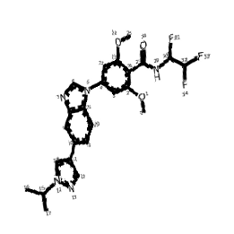 COc1cc(-n2cnc3cc(-c4cnn(C(C)C)c4)ccc32)cc(OC)c1C(=O)NC(F)C(F)F